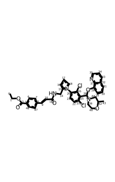 CCOC(=O)c1ccc(C=CC(=O)NCc2cccn2-c2ccc(Cl)c(C(Oc3cccc4cccnc34)N3CCOC(C)C3)c2Cl)cc1